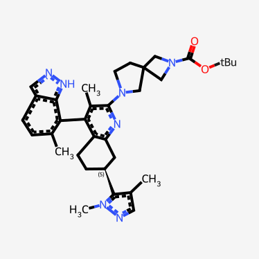 Cc1ccc2cn[nH]c2c1-c1c(C)c(N2CCC3(CN(C(=O)OC(C)(C)C)C3)C2)nc2c1CC[C@H](c1c(C)cnn1C)C2